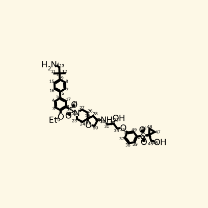 CCOc1ccc(-c2ccc(C(C)(C)CN)cc2)cc1S(=O)(=O)N1CCC2(CC1)C[C@@H](NC[C@H](O)COc1cccc(S(=O)(=O)C3(CO)CC3)c1)CO2